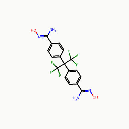 NC(=NO)c1ccc(C(c2ccc(/C(N)=N/O)cc2)(C(F)(F)F)C(F)(F)F)cc1